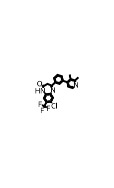 Cc1nccc(-c2cccc(C3=Nc4cc(Cl)c(C(F)(F)F)cc4NC(=O)C3)c2)c1C